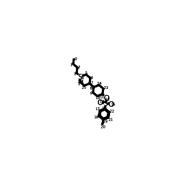 CCCC[SiH]1CCC(C2CCC(OS(=O)(=O)c3ccc(C)cc3)CC2)CC1